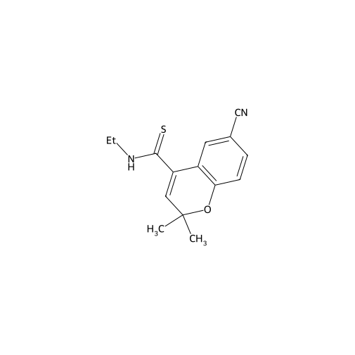 CCNC(=S)C1=CC(C)(C)Oc2ccc(C#N)cc21